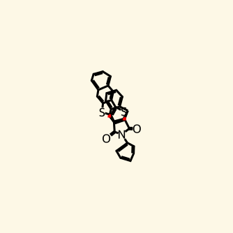 O=C1C2C3c4ccccc4C(c4c3sc3c4sc4cc5ccccc5cc43)C2C(=O)N1c1ccccc1